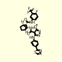 COc1ncnc(Nc2ccc(-c3nncs3)cc2)c1C(=O)N[C@@H]1[C@H]2CC[C@H](C2)[C@@H]1C(=O)Nc1ccc(F)c(C(F)(F)F)c1